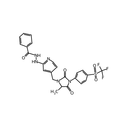 CC1C(=O)N(c2ccc(S(=O)(=O)C(F)(F)F)cc2)C(=O)N1Cc1ccnc(NNC(=O)c2ccccc2)c1